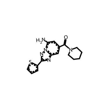 Nc1cc(C(=O)N2CCCCC2)cc2nc(-c3cccs3)nn12